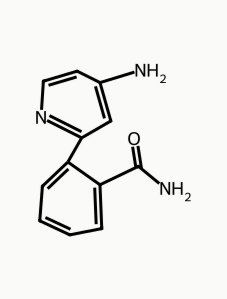 NC(=O)c1ccccc1-c1cc(N)ccn1